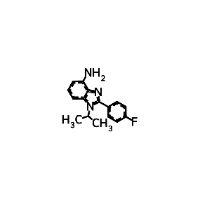 CC(C)n1c(-c2ccc(F)cc2)nc2c(N)cccc21